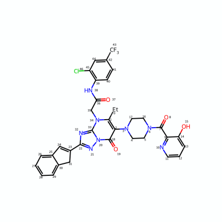 CCc1c(N2CCN(C(=O)c3ncccc3O)CC2)c(=O)n2nc(C3=Cc4ccccc4C3)nc2n1CC(=O)Nc1ccc(C(F)(F)F)cc1Cl